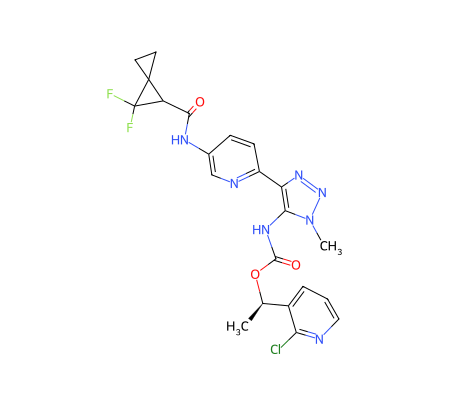 C[C@@H](OC(=O)Nc1c(-c2ccc(NC(=O)C3C(F)(F)C34CC4)cn2)nnn1C)c1cccnc1Cl